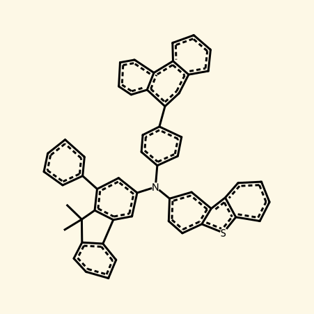 CC1(C)c2ccccc2-c2cc(N(c3ccc(-c4cc5ccccc5c5ccccc45)cc3)c3ccc4sc5ccccc5c4c3)cc(-c3ccccc3)c21